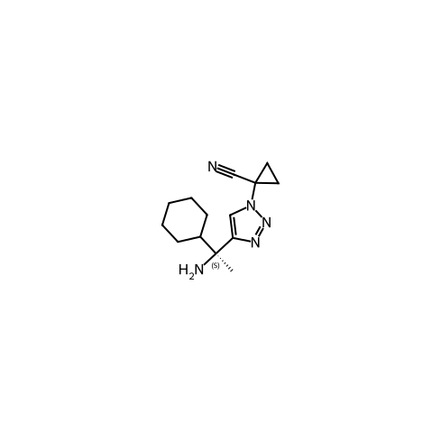 C[C@@](N)(c1cn(C2(C#N)CC2)nn1)C1CCCCC1